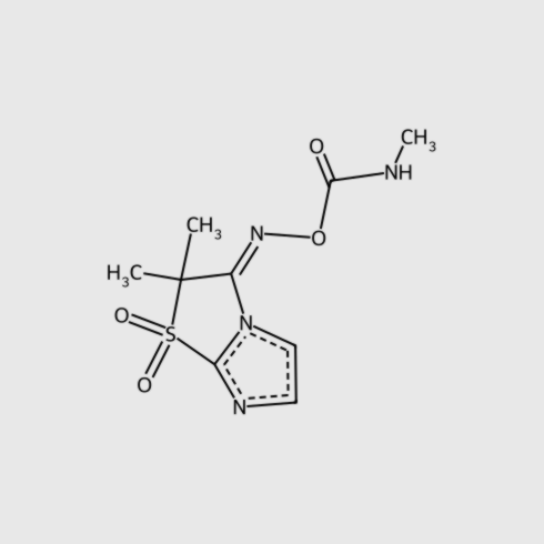 CNC(=O)ON=C1n2ccnc2S(=O)(=O)C1(C)C